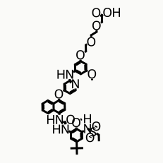 CCS(=O)(=O)Nc1cc(C(C)(C)C)cc(NC(=O)Nc2ccc(Oc3ccnc(Nc4cc(OC)cc(OCCOCCOCC(=O)O)c4)c3)c3ccccc23)c1OC